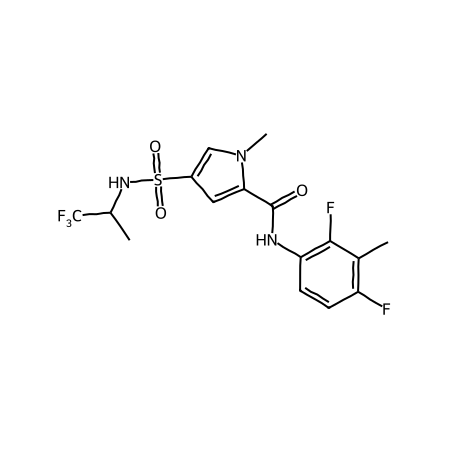 Cc1c(F)ccc(NC(=O)c2cc(S(=O)(=O)NC(C)C(F)(F)F)cn2C)c1F